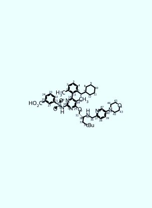 Cc1cccc(CC2CCCCC2)c1-c1nc(NS(=O)(=O)c2cccc(C(=O)O)c2)nc(OC[C@@H](CC(C)(C)C)NCc2ccc(N3CCOCC3)cn2)c1C